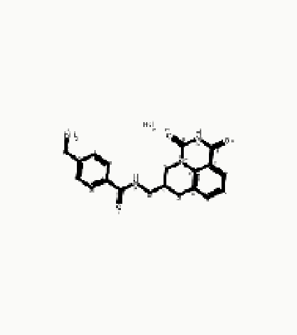 Cl.NCc1ccc(C(=O)NCC2Cc3cccc4c(=O)[nH]c(=O)n(c34)C2)cc1